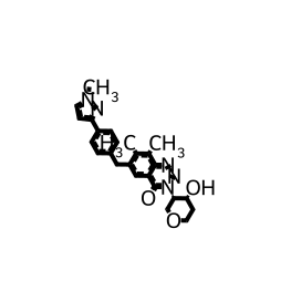 Cc1c(Cc2ccc(-c3ccn(C)n3)cc2)cc2c(=O)n([C@H]3COCC[C@@H]3O)nnc2c1C